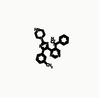 Cc1cccc(-c2nc(N3CCNCC3)sc2-c2n[c]ncc2[C@@H](C)c2ccccc2)c1